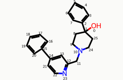 OC1(c2ccccc2)CCN(Cc2cc(-c3ccccc3)ccn2)CC1